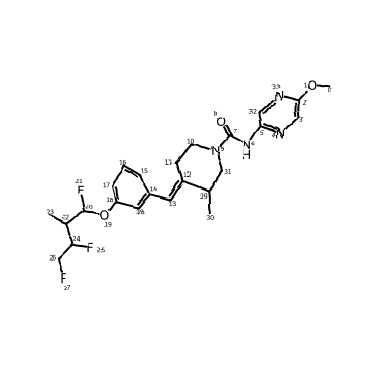 COc1cnc(NC(=O)N2CCC(=Cc3cccc(OC(F)C(C)C(F)CF)c3)C(C)C2)cn1